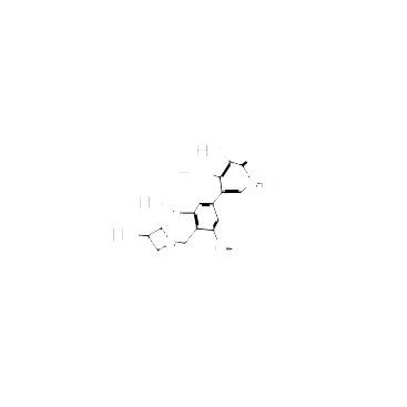 COc1cc(-c2cn(C)c(=O)c(C)c2C)cc(OC)c1CN1CC(O)C1